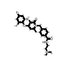 Cc1cc(Oc2ccc(F)cc2F)c(Br)c(=O)n1Cc1ccc(C(=O)NCCN(C)C)cc1